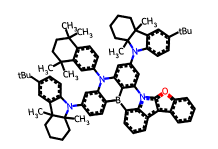 CC(C)(C)c1ccc2c(c1)C1(C)CCCCC1(C)N2c1ccc2c(c1)N(c1ccc3c(c1)C(C)(C)CCC3(C)C)c1cc(N3c4ccc(C(C)(C)C)cc4C4(C)CCCCC34C)cc3c1B2c1cccc2c4c5ccccc5oc4n-3c12